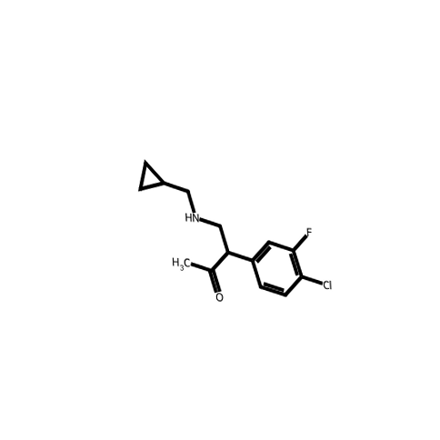 CC(=O)C(CNCC1CC1)c1ccc(Cl)c(F)c1